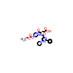 CCOC(=O)ON1CCN(C(=O)[C@H](CCC(=O)O)NC(=O)c2cc(N3CCCCC3)nc(-c3ccccc3)n2)CC1